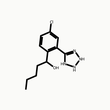 CCCCC(O)c1ccc(Cl)cc1C1=NNNN1